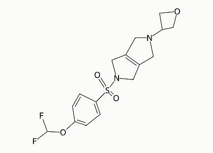 O=S(=O)(c1ccc(OC(F)F)cc1)N1CC2=C(CN(C3COC3)C2)C1